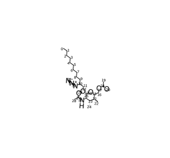 CCCCCCCCCCC(CO[C@@H]1OC(COC(C)=O)[C@@H](C)[C@H](C)C1NC(C)=O)N=[N+]=[N-]